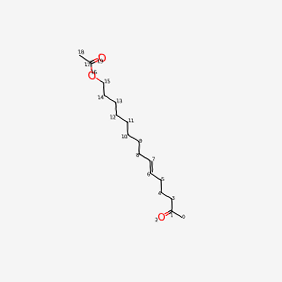 CC(=O)CCCC=CCCCCCCCCOC(C)=O